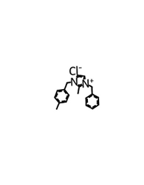 Cc1ccc(Cn2cc[n+](Cc3ccccc3)c2C)cc1.[Cl-]